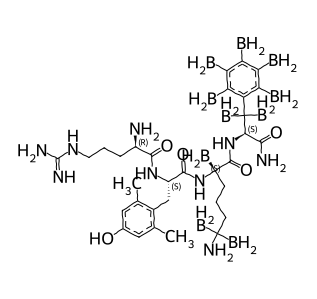 Bc1c(B)c(B)c(C(B)(B)[C@H](NC(=O)[C@](B)(CCCC(B)(B)N)NC(=O)[C@H](Cc2c(C)cc(O)cc2C)NC(=O)[C@H](N)CCCNC(=N)N)C(N)=O)c(B)c1B